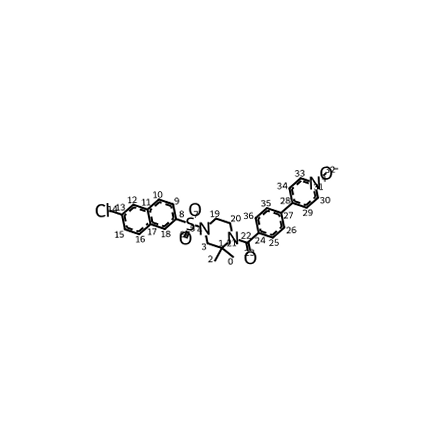 CC1(C)CN(S(=O)(=O)c2ccc3cc(Cl)ccc3c2)CCN1C(=O)c1ccc(-c2cc[n+]([O-])cc2)cc1